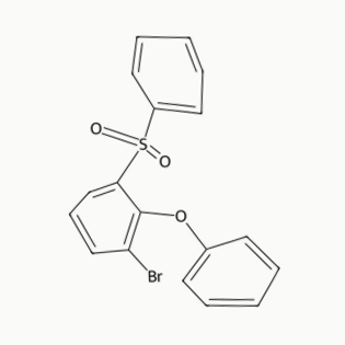 O=S(=O)(c1ccccc1)c1cccc(Br)c1Oc1ccccc1